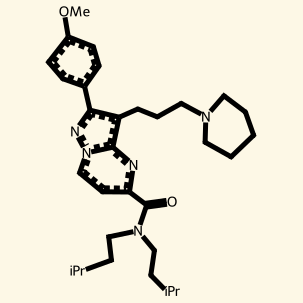 COc1ccc(-c2nn3ccc(C(=O)N(CCC(C)C)CCC(C)C)nc3c2CCCN2CCCCC2)cc1